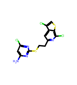 Nc1cc(Cl)nc(SCCc2cc3c(Cl)csc3c(Cl)n2)n1